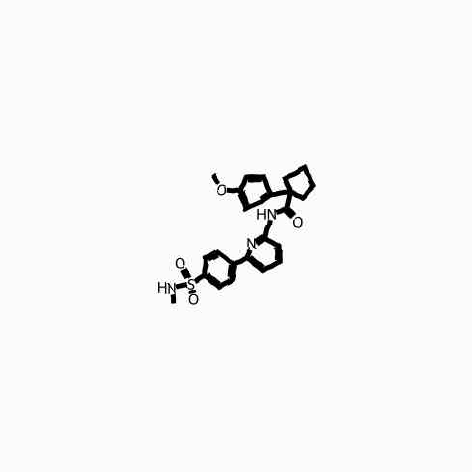 CNS(=O)(=O)c1ccc(-c2cccc(NC(=O)C3(c4ccc(OC)cc4)CCCC3)n2)cc1